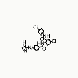 O=C(Nc1ccc(Cl)cc1C(=O)Nc1ccc(Cl)cn1)c1ccc(CNC2=NCCN2)cc1